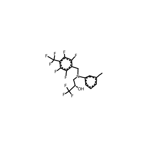 Cc1cccc(N(Cc2c(F)c(F)c(C(F)(F)F)c(F)c2F)C[C@@H](O)C(F)(F)F)c1